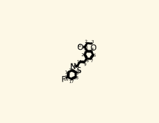 O=C1CCOc2ccc(C=Cc3nc4cc(F)ccc4s3)cc21